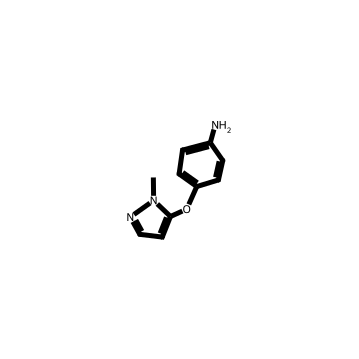 Cn1nccc1Oc1ccc(N)cc1